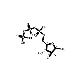 C[C@@H]1O[C@H](COP(=O)(O)OP(=O)(O)OP(=O)(O)O)[C@@H](O)[C@]1(F)Cl